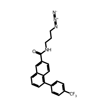 [N-]=[N+]=NCCCNC(=O)c1ccc2c(-c3ccc(C(F)(F)F)cc3)cccc2c1